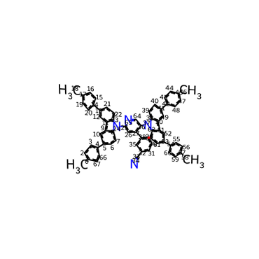 Cc1ccc(-c2ccc3c(c2)c2cc(-c4ccc(C)cc4)ccc2n3-c2cc(-c3cccc(C#N)c3)c(-n3c4ccc(-c5ccc(C)cc5)cc4c4cc(-c5ccc(C)cc5)ccc43)cn2)cc1